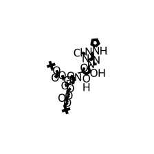 CN(C[C@H]1O[C@@H](n2cnc3c(NC4CCCC4)nc(Cl)nc32)[C@H](O)[C@@H]1O)C(=O)CP(=O)(OCOC(=O)OCC(C)(C)C)OCOC(=O)OCC(C)(C)C